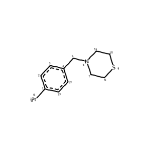 CC(C)c1ccc(CN2CCSCC2)cc1